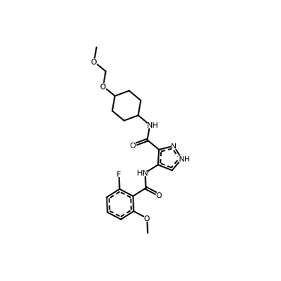 COCOC1CCC(NC(=O)c2n[nH]cc2NC(=O)c2c(F)cccc2OC)CC1